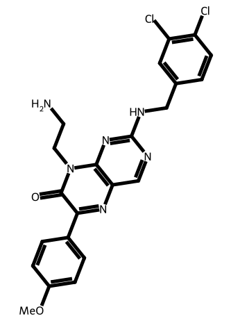 COc1ccc(-c2nc3cnc(NCc4ccc(Cl)c(Cl)c4)nc3n(CCN)c2=O)cc1